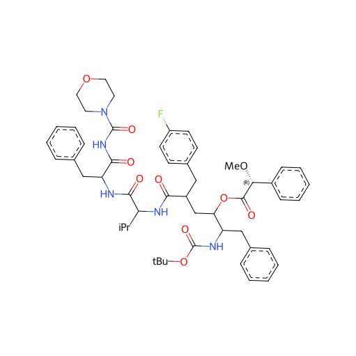 CO[C@@H](C(=O)OC(CC(Cc1ccc(F)cc1)C(=O)NC(C(=O)NC(Cc1ccccc1)C(=O)NC(=O)N1CCOCC1)C(C)C)C(Cc1ccccc1)NC(=O)OC(C)(C)C)c1ccccc1